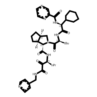 CCC[C@H](NC(=O)[C@@H]1[C@H]2CCC[C@H]2CN1C(=O)[C@@H](NC(=O)[C@@H](NC(=O)c1cnccn1)C1CCCCC1)C(C)(C)C)C(=O)C(=O)NCc1ccncc1